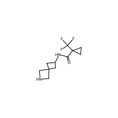 O=C(NC1CC2(CNC2)C1)C1(C(F)(F)F)CC1